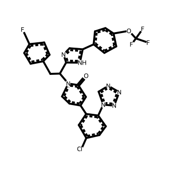 O=c1cc(-c2cc(Cl)ccc2-n2cnnn2)ccn1C(Cc1ccc(F)cc1)c1ncc(-c2ccc(OC(F)(F)F)cc2)[nH]1